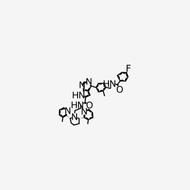 Cc1cc(-c2ncnc3[nH]c(C(=O)NCCN4[C@@H](c5ncccc5C)CCC[C@H]4c4ncccc4C)cc23)ccc1CNC(=O)c1ccc(F)cc1